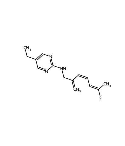 C=C(/C=C\C=C(/C)F)CNc1ncc(CC)cn1